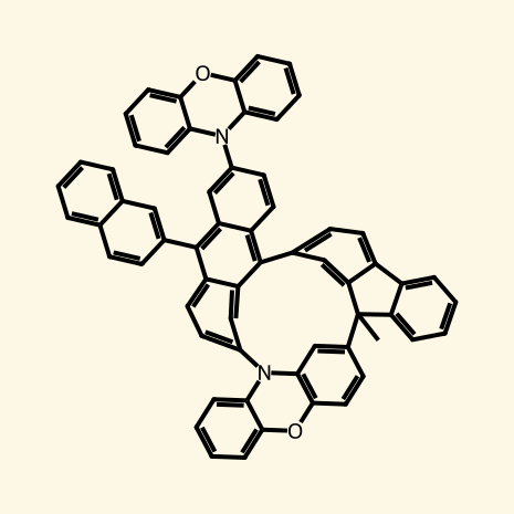 CC12c3ccc4c(c3)N(c3ccc5c(-c6ccc7ccccc7c6)c6cc(N7c8ccccc8Oc8ccccc87)ccc6c(c5c3)-c3ccc(c1c3)-c1ccccc12)c1ccccc1O4